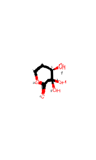 O=C1OCC[C@@H](O)C1(O)O